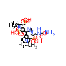 CC1(C)C=C(CS(=O)(=O)O)c2cc3c(c(S(=O)(=O)O)c2=N1)Oc1c(cc2c4c1CCCN4C(C)(C)C=C2CS(=O)(=O)O)C=3c1nccn1CCCCNC(=O)CON